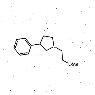 COCCN1CCC(c2ccccc2)C1